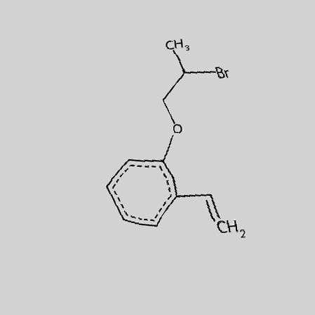 C=Cc1ccccc1OCC(C)Br